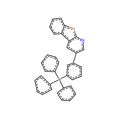 c1ccc([Si](c2ccccc2)(c2ccccc2)c2cccc(-c3cnc4sc5ccccc5c4c3)c2)cc1